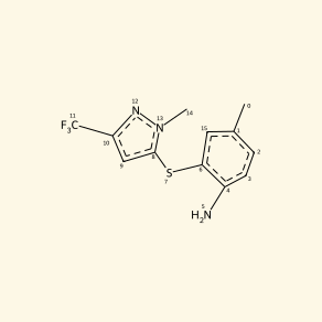 Cc1ccc(N)c(Sc2cc(C(F)(F)F)nn2C)c1